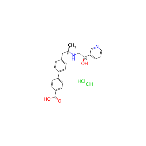 C[C@H](Cc1ccc(-c2ccc(C(=O)O)cc2)cc1)NC[C@H](O)c1cccnc1.Cl.Cl